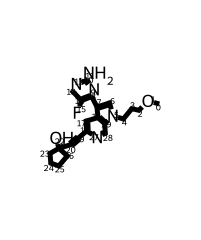 COCCCn1cc(-c2nc(N)ncc2F)c2cc(C#CC3(O)CCCC3)ncc21